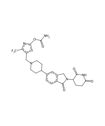 NC(=O)Oc1nc(C(F)(F)F)c(CN2CCC(c3ccc4c(c3)CN(C3CCC(=O)NC3=O)C4=O)CC2)s1